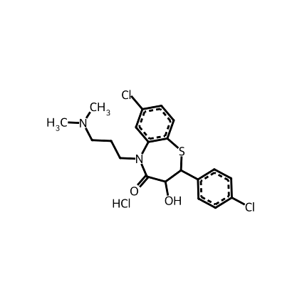 CN(C)CCCN1C(=O)C(O)C(c2ccc(Cl)cc2)Sc2ccc(Cl)cc21.Cl